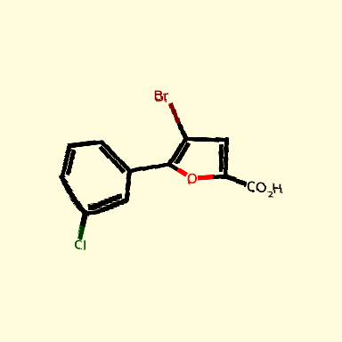 O=C(O)c1cc(Br)c(-c2cccc(Cl)c2)o1